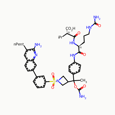 CCCCCc1cc2ccc(-c3cccc(S(=O)(=O)N4CC(C(C)(OC(N)=O)c5ccc(NC(=O)[C@H](CCCNC(N)=O)NC(=O)[C@@H](C(=O)O)C(C)C)cc5)C4)c3)cc2nc1N